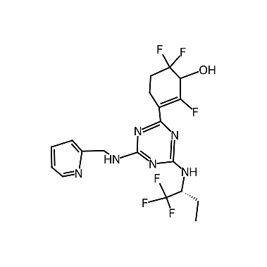 CC[C@@H](Nc1nc(NCc2ccccn2)nc(C2=C(F)C(O)C(F)(F)CC2)n1)C(F)(F)F